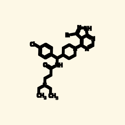 CCN(CC)CCC(=O)NC(c1ccc(Cl)cc1)C1CCN(c2ncnc3[nH]nc(Br)c23)CC1